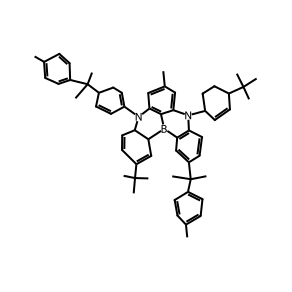 Cc1ccc(C(C)(C)c2ccc3c(c2)B2c4c(cc(C)cc4N3C3C=CC(C(C)(C)C)CC3)N(C3=CCC(C(C)(C)c4ccc(C)cc4)C=C3)C3C=CC(C(C)(C)C)=CC23)cc1